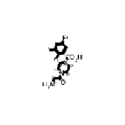 Cc1cc(F)ccc1C[C@H]1CN(C(=O)CN)CCN1C(=O)O